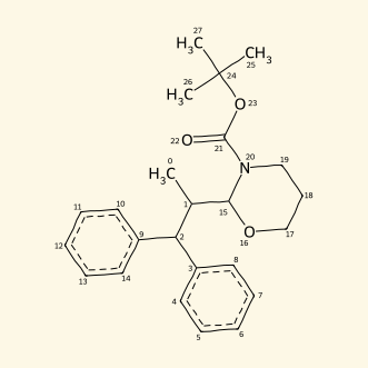 CC(C(c1ccccc1)c1ccccc1)C1OCCCN1C(=O)OC(C)(C)C